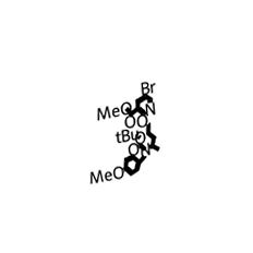 COC(=O)c1cc(Br)cnc1OCCCC(C)N(Cc1ccc(OC)cc1)C(=O)OC(C)(C)C